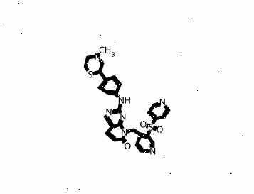 CN1CCSC(c2ccc(Nc3ncc4ccc(=O)n(Cc5ccncc5S(=O)(=O)c5ccncc5)c4n3)cc2)C1